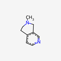 CN1CCc2ccncc2C1